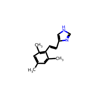 Cc1cc(C)c(C=Cc2c[nH]cn2)c(C)c1